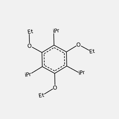 CCOc1c(C(C)C)c(OCC)c(C(C)C)c(OCC)c1C(C)C